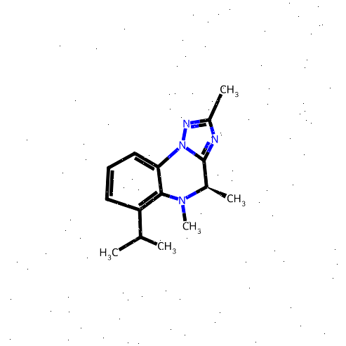 Cc1nc2n(n1)-c1cccc(C(C)C)c1N(C)[C@@H]2C